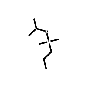 [CH2]CC[Si](C)(C)OC(C)C